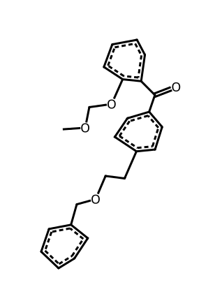 COCOc1ccccc1C(=O)c1ccc(CCOCc2ccccc2)cc1